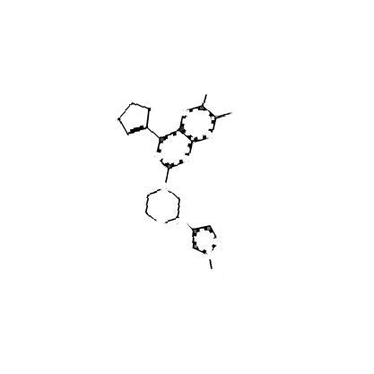 Cc1nc2nc(N3CCO[C@H](c4cnn(C)c4)C3)nc(C3=CCCC3)c2nc1C